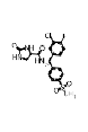 CS(=O)(=O)c1ccc([C@H](NC(=O)C2CNC(=O)N2)c2ccc(F)c(Cl)c2)cc1